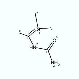 CC(NC(N)=O)=[Si](C)C